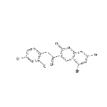 O=C(Cc1ccc(Cl)cc1Cl)c1cc2c(Br)cc(Br)cc2sc1=O